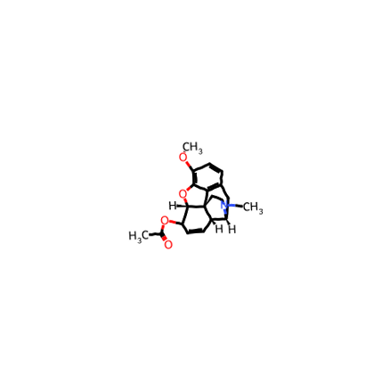 COc1ccc2c3c1O[C@H]1C(OC(C)=O)C=C[C@H]4[C@@H](C2)N(C)CC[C@]314